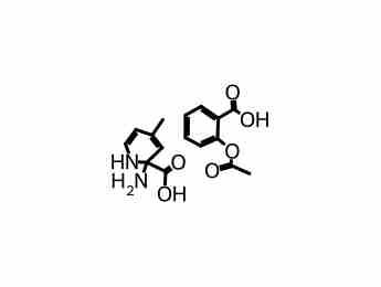 CC(=O)Oc1ccccc1C(=O)O.CC1=CC(N)(C(=O)O)NC=C1